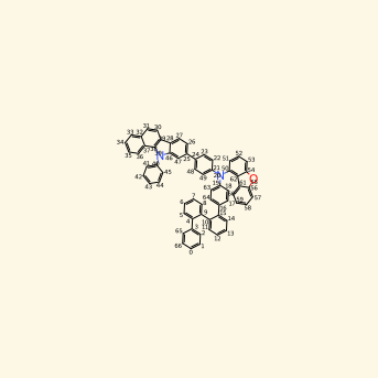 c1ccc(-c2ccccc2-c2ccccc2-c2ccc(N(c3ccc(-c4ccc5c6ccc7ccccc7c6n(-c6ccccc6)c5c4)cc3)c3cccc4oc5ccccc5c34)cc2)cc1